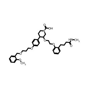 CNC(=O)CCCc1ccccc1OCCOC1CN(C(=O)O)CCC1c1ccc(OCCCOCc2ccccc2OC)cc1